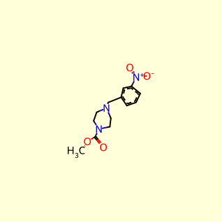 COC(=O)N1CCN(Cc2cccc([N+](=O)[O-])c2)CC1